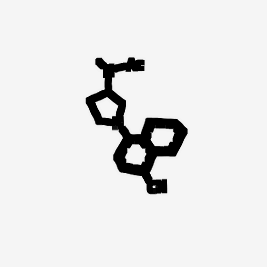 CC(=O)N(C)C1CCN(c2ccc(C#N)c3ccccc23)C1